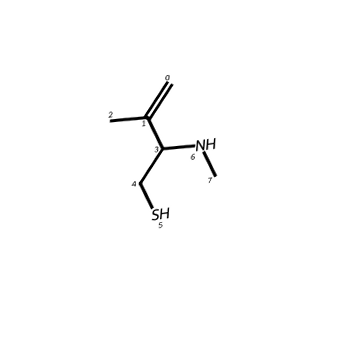 C=C(C)C(CS)NC